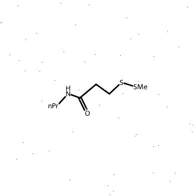 CCCNC(=O)CCSSC